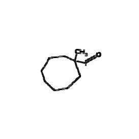 CC1([C]=O)CCCCCCC1